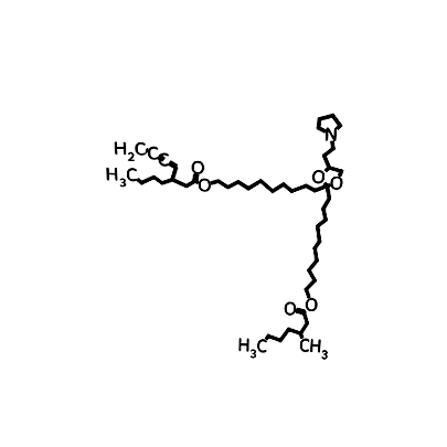 C=C=C=CC(CCCC)CC(=O)OCCCCCCCCCCC1(CCCCCCCCCCOC(=O)CC(C)CCCC)OCC(CCN2CCCC2)O1